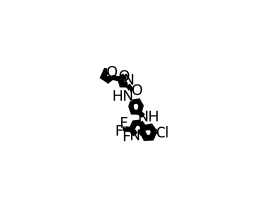 O=C(NC1CCC(Nc2cc(C(F)(F)F)nc3ccc(Cl)cc23)CC1)c1cc(-c2ccco2)on1